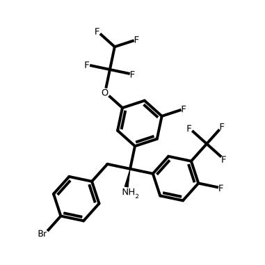 N[C@@](Cc1ccc(Br)cc1)(c1cc(F)cc(OC(F)(F)C(F)F)c1)c1ccc(F)c(C(F)(F)F)c1